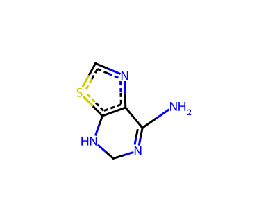 NC1=NCNc2scnc21